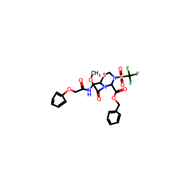 COC1(NC(=O)COc2ccccc2)C(=O)N2C(C(=O)OCc3ccccc3)N(S(=O)(=O)C(F)(F)F)CSC21